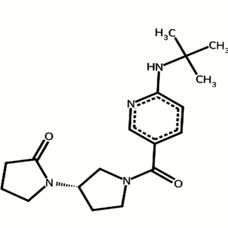 CC(C)(C)Nc1ccc(C(=O)N2CC[C@H](N3CCCC3=O)C2)cn1